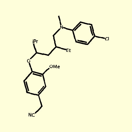 CCC(CC(Oc1ccc(CC#N)cc1OC)C(C)C)CN(C)c1ccc(Cl)cc1